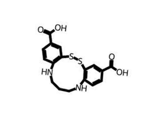 O=C(O)c1ccc2c(c1)SSc1cc(C(=O)O)ccc1NCCCN2